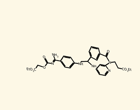 CCOC(=O)CCN(C(=O)c1cccc(C(N)CNc2ccc(/C(N)=N/C(=O)OCC(=O)OCC)cc2)c1)c1ccccn1